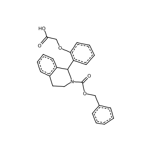 O=C(O)COc1ccccc1C1c2ccccc2CCN1C(=O)OCc1ccccc1